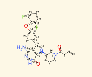 C=CCC(=O)N1CCC[C@@H](n2cc(-c3ccc(Oc4c(F)cccc4F)cc3)c3c(N)n[nH]c(=O)c32)C1